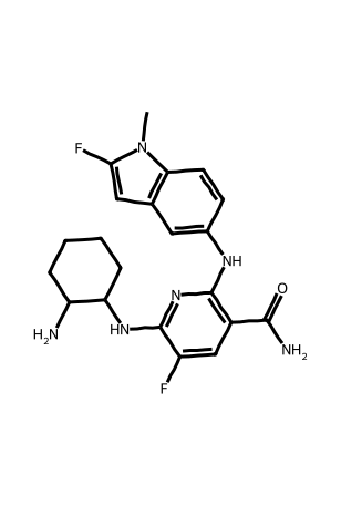 Cn1c(F)cc2cc(Nc3nc(NC4CCCCC4N)c(F)cc3C(N)=O)ccc21